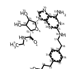 CCNC(=O)[C@H]1O[C@@H](n2cnc3c(N)nc(NCCc4ccc(CCC=O)cc4)nc32)C(O)C1O